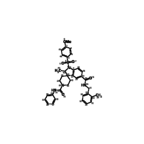 COc1ccc(S(=O)(=O)N2c3ccc(C(=O)NCc4ccccc4C)cc3C3(CCN(C(=O)Nc4ccccc4)CC3)C2C)cc1